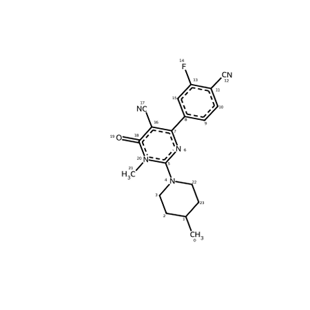 CC1CCN(c2nc(-c3ccc(C#N)c(F)c3)c(C#N)c(=O)n2C)CC1